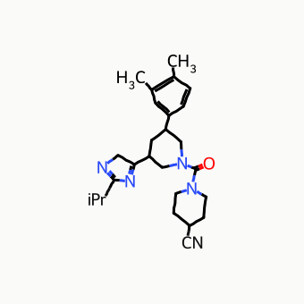 Cc1ccc(C2CC(C3=NC(C(C)C)=NC3)CN(C(=O)N3CCC(C#N)CC3)C2)cc1C